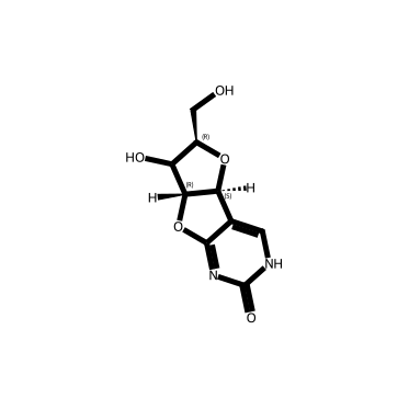 O=c1nc2c(c[nH]1)[C@@H]1O[C@H](CO)C(O)[C@H]1O2